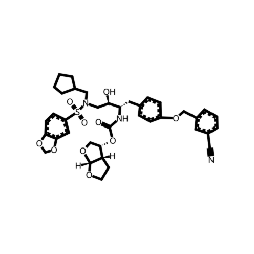 N#Cc1cccc(COc2ccc(C[C@H](NC(=O)O[C@H]3CO[C@H]4OCC[C@H]43)[C@H](O)CN(CC3CCCC3)S(=O)(=O)c3ccc4c(c3)OCO4)cc2)c1